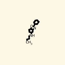 CCCCNc1ccc2oc(-c3ccccc3)nc2c1